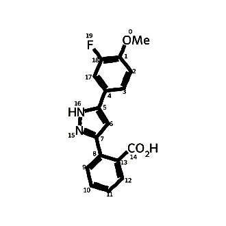 COc1ccc(-c2cc(-c3ccccc3C(=O)O)n[nH]2)cc1F